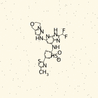 Cc1csc(-c2ccc(Nc3cc(Nc4cc5n(n4)CCOC5)nc4[nH]c(C(F)F)nc34)c([SH](=O)=O)c2)n1